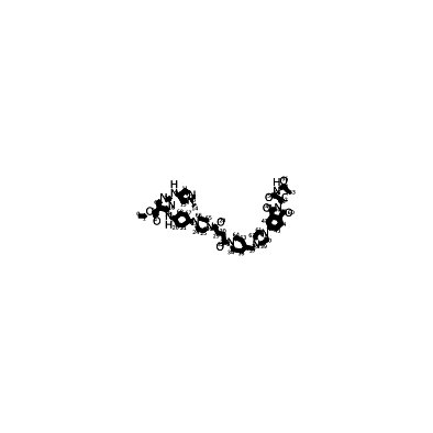 CCOC(=O)c1cnc(Nc2cnn(C)c2)nc1NC1CCC(N2CCN(C(=O)CCC(=O)N3CCC(CN4CCN(c5ccc6c(c5)C(=O)N(C5CCC(=O)NC5=O)C6=O)CC4)CC3)CC2)CC1